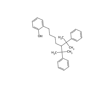 CC(C)(c1ccccc1)C(CCCCc1ccccc1O)C(C)(C)c1ccccc1